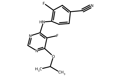 CC(C)Oc1ncnc(Nc2ccc(C#N)cc2F)c1F